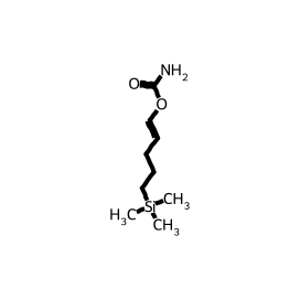 C[Si](C)(C)CCCC=COC(N)=O